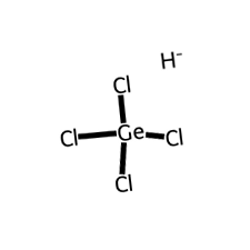 [Cl][Ge]([Cl])([Cl])[Cl].[H-]